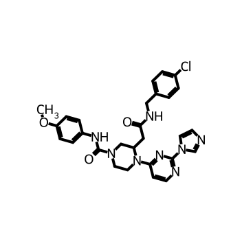 COc1ccc(NC(=O)N2CCN(c3ccnc(-n4ccnc4)n3)C(CC(=O)NCc3ccc(Cl)cc3)C2)cc1